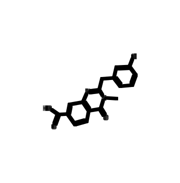 Cn1c(Cc2cccc(Cl)c2)nc2cc(C(=O)O)ccc2c1=O